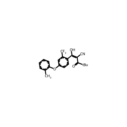 Cc1ccccc1Oc1ccc(C(O)=C(C#N)C(=O)C(C)(C)C)c(C(F)(F)F)c1